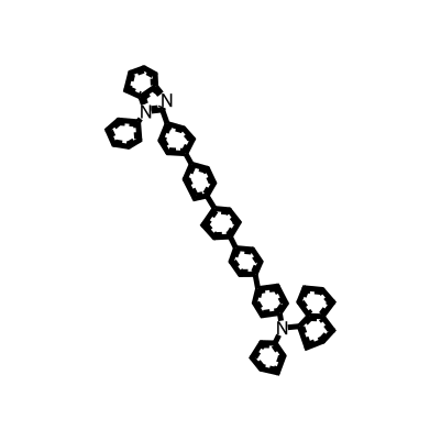 c1ccc(N(c2ccc(-c3ccc(-c4ccc(-c5ccc(-c6ccc(-c7nc8ccccc8n7-c7ccccc7)cc6)cc5)cc4)cc3)cc2)c2cccc3ccccc23)cc1